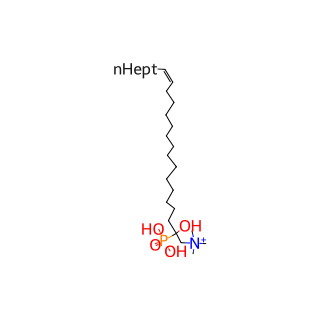 CCCCCCC/C=C\CCCCCCCCCCCCCC(O)(C[N+](C)(C)C)P(=O)(O)O